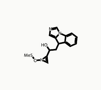 CSON1C=C1C(O)CC1c2ccccc2-n2cncc21